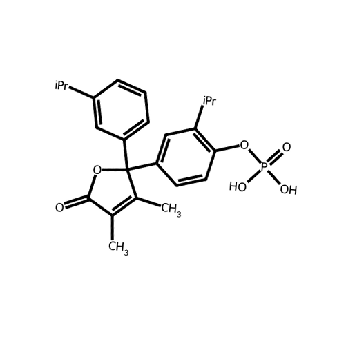 CC1=C(C)C(c2cccc(C(C)C)c2)(c2ccc(OP(=O)(O)O)c(C(C)C)c2)OC1=O